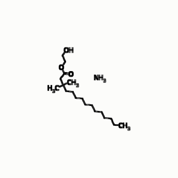 CCCCCCCCCCCCC(C)(C)CC(=O)OCCO.N